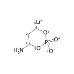 NC1CCOP(=O)([O-])O1.[Li+]